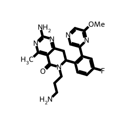 COc1cncc(-c2cc(F)ccc2C2Cc3nc(N)nc(C)c3C(=O)N2CCCN)n1